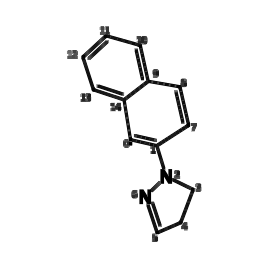 [c]1c(N2CCC=N2)ccc2ccccc12